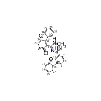 CN/C(=N\C(=N)c1cccc2c1oc1ccccc12)c1c(Cl)ccc2oc3ccccc3c12